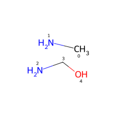 CN.NCO